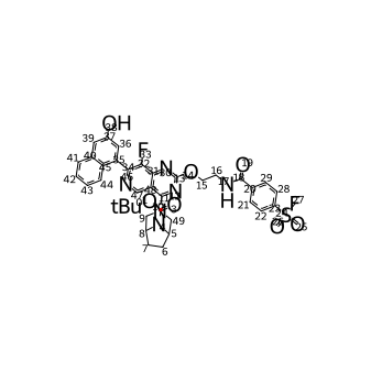 CC(C)(C)OC(=O)N1C2CCC1CN(c1nc(OCCNC(=O)c3ccc(S(=O)(=O)F)cc3)nc3c(F)c(-c4cc(O)cc5ccccc45)ncc13)C2